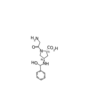 NCC(=O)N1C[C@H](NC(O)c2ccccc2)C[C@H]1C(=O)O